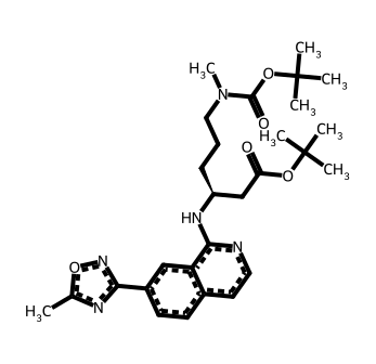 Cc1nc(-c2ccc3ccnc(N[C@@H](CCCN(C)C(=O)OC(C)(C)C)CC(=O)OC(C)(C)C)c3c2)no1